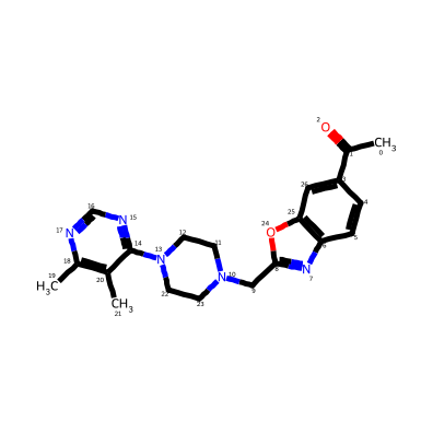 CC(=O)c1ccc2nc(CN3CCN(c4ncnc(C)c4C)CC3)oc2c1